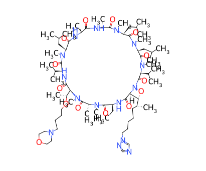 CC[C@@H]1NC(=O)[C@@H]2[C@@H]([C@H](C)CCCCCn3cncn3)ON2C(=O)[C@H](C(C)C)N(C)C(=O)[C@H](CC(C)C)N(C)C(=O)[C@H](CC(C)C)N(C)C(=O)[C@@H](C)NC(=O)[C@H](C)NC(=O)[C@H](CC(C)C)N(C)C(=O)[C@H](C(C)C)NC(=O)[C@H]([C@@H](C)OCCCCN2CCOCC2)N(C)C(=O)[C@@H](C)N(C)C1=O